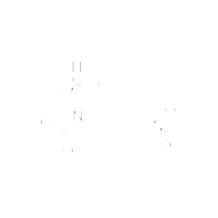 Cc1cc([N+](=O)[O-])ccc1N1C(=O)OC[C@H]1C